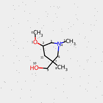 COC1CN(C)CC(C)(CO)C1